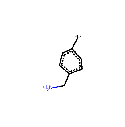 [2H]c1ccc(CN)cc1